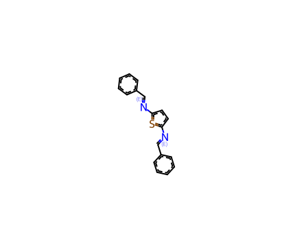 C(=N\c1ccc(/N=C/c2ccccc2)s1)/c1ccccc1